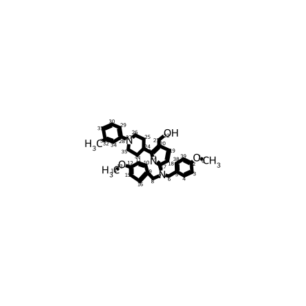 COc1ccc(CN(Cc2ccc(OC)cc2)c2ccc(CO)c(C3CCN(c4cccc(C)c4)CC3)n2)cc1